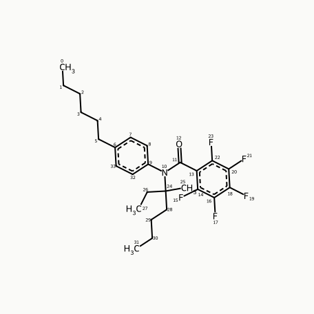 CCCCCCc1ccc(N(C(=O)c2c(F)c(F)c(F)c(F)c2F)C(C)(CC)CCCC)cc1